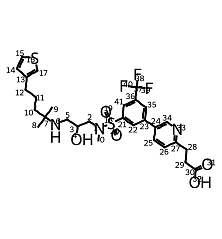 CN(CC(O)CNC(C)(C)CCCc1ccsc1)S(=O)(=O)c1cc(-c2ccc(CCC(=O)O)nc2)cc(C(F)(F)F)c1